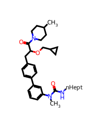 CCCCCCCNC(=O)N(C)c1cccc(-c2ccc(CC(OCC3CC3)C(=O)N3CCC(C)CC3)cc2)c1